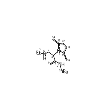 C=C(NCCCC)C(CNCC)n1c(=C)ccc1=C